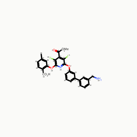 COC(=O)c1c(F)c(Oc2cccc(-c3cccc(CN)c3)c2)nc(Oc2cc(C)ccc2C(=O)O)c1F